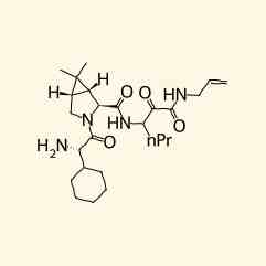 C=CCNC(=O)C(=O)C(CCC)NC(=O)[C@@H]1[C@@H]2[C@H](CN1C(=O)[C@@H](N)C1CCCCC1)C2(C)C